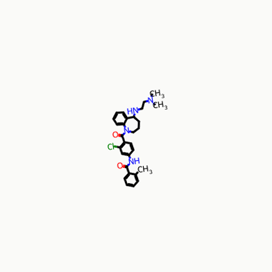 Cc1ccccc1C(=O)Nc1ccc(C(=O)N2CCCC(NCCN(C)C)c3ccccc32)c(Cl)c1